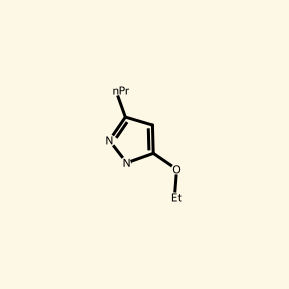 CCCC1=N[N]C(OCC)=C1